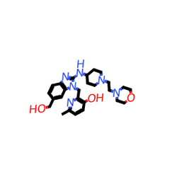 Cc1ccc(O)c(Cn2c(NC3CCN(CCN4CCOCC4)CC3)nc3ccc(CO)cc32)n1